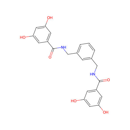 O=C(NCc1cccc(CNC(=O)c2cc(O)cc(O)c2)c1)c1cc(O)cc(O)c1